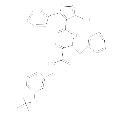 Cc1noc(-c2ccccc2)c1C(=O)NC(Cc1ccccc1)C(=O)C(=O)NCc1cccc(OC(F)(F)F)c1